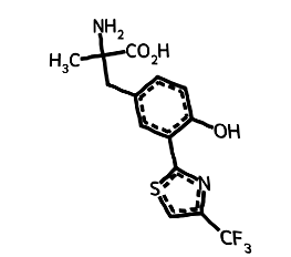 CC(N)(Cc1ccc(O)c(-c2nc(C(F)(F)F)cs2)c1)C(=O)O